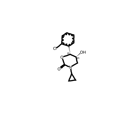 O=C1O[C@H](c2ccccc2Cl)[C@H](O)CN1C1CC1